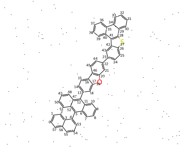 c1ccc2c(-c3c4ccccc4c(-c4ccc5c(c4)oc4cc(-c6ccc7sc8c9ccccc9c9ccccc9c8c7c6)ccc45)c4ccccc34)cccc2c1